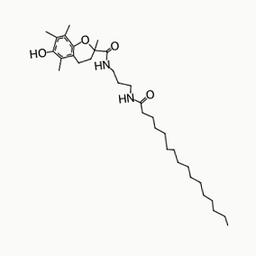 CCCCCCCCCCCCCCCC(=O)NCCCNC(=O)C1(C)CCc2c(C)c(O)c(C)c(C)c2O1